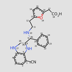 N#Cc1cccc2c1N[C@@H]([C@H](NCCc1ccc(CC(=O)O)o1)c1ccccc1)CN2